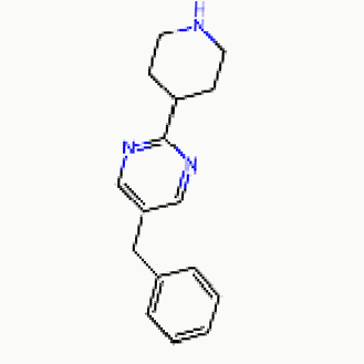 c1ccc(Cc2cnc(C3CCNCC3)nc2)cc1